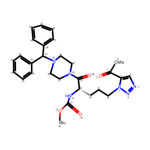 COC(=O)c1cnnn1CCC[C@H](NC(=O)OC(C)(C)C)C(=O)N1CCN(C(c2ccccc2)c2ccccc2)CC1